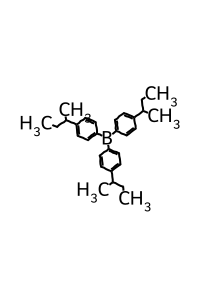 CCC(C)c1ccc(B(c2ccc(C(C)CC)cc2)c2ccc(C(C)CC)cc2)cc1